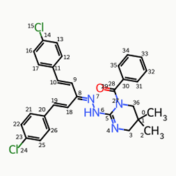 CC1(C)CN=C(NN=C(C=Cc2ccc(Cl)cc2)C=Cc2ccc(Cl)cc2)N(C(=O)c2ccccc2)C1